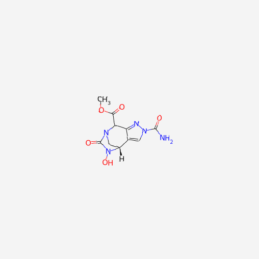 COC(=O)C1c2nn(C(N)=O)cc2[C@H]2CN1C(=O)N2O